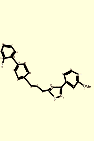 COc1cc(-c2noc(CCCc3ccc(-c4ccccc4F)cc3)n2)ccn1